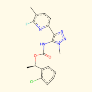 Cc1ccc(-c2nnn(C)c2NC(=O)O[C@H](C)c2ccccc2Cl)nc1F